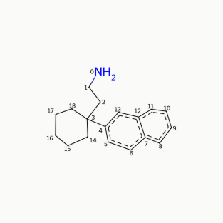 NCCC1(c2ccc3ccccc3c2)CCCCC1